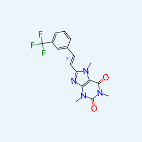 Cn1c(=O)c2c(nc(/C=C/c3cccc(C(F)(F)F)c3)n2C)n(C)c1=O